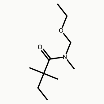 CCOCN(C)C(=O)C(C)(C)CC